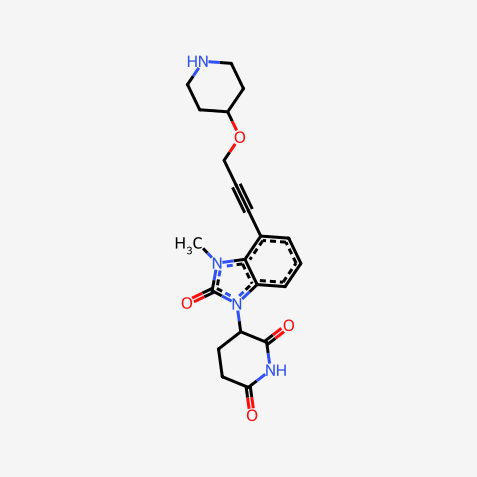 Cn1c(=O)n(C2CCC(=O)NC2=O)c2cccc(C#CCOC3CCNCC3)c21